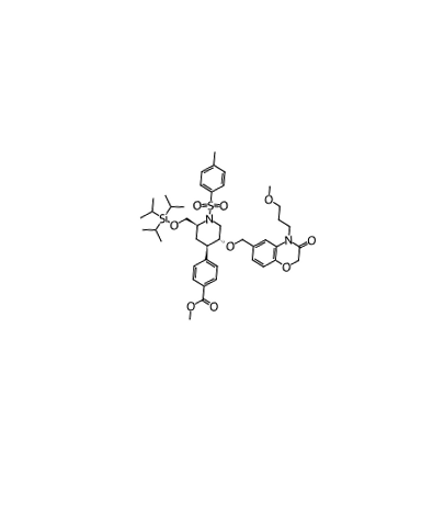 COCCCN1C(=O)COc2ccc(CO[C@H]3CN(S(=O)(=O)c4ccc(C)cc4)[C@H](CO[Si](C(C)C)(C(C)C)C(C)C)C[C@@H]3c3ccc(C(=O)OC)cc3)cc21